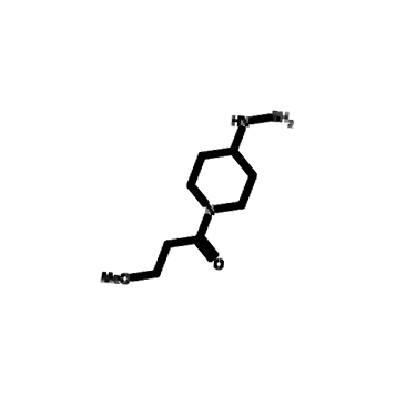 BNC1CCN(C(=O)CCOC)CC1